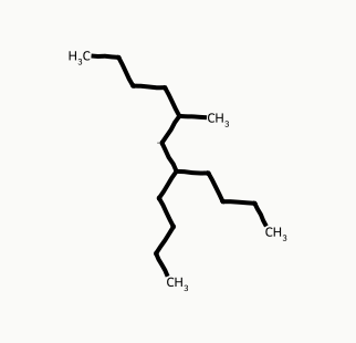 CCCCC(C)[CH]C(CCCC)CCCC